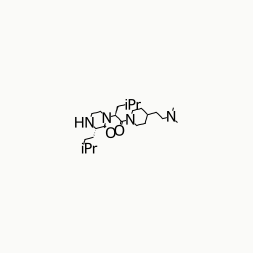 CC(C)CC[C@@H]1NCCN([C@@H](CC(C)C)C(=O)N2CCC(CCN(C)C)CC2)C1=O